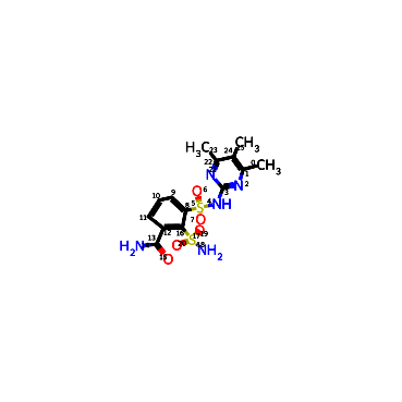 Cc1nc(NS(=O)(=O)c2cccc(C(N)=O)c2S(N)(=O)=O)nc(C)c1C